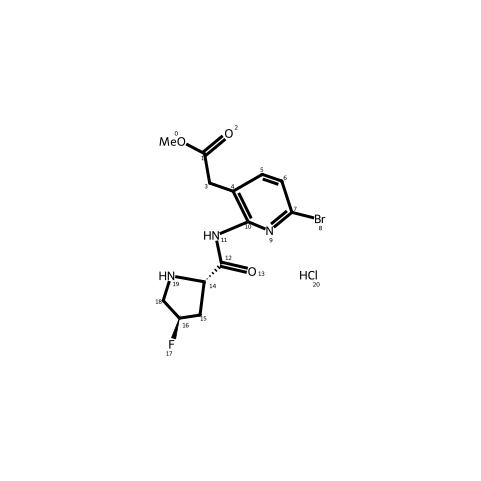 COC(=O)Cc1ccc(Br)nc1NC(=O)[C@@H]1C[C@@H](F)CN1.Cl